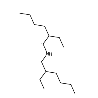 CCCCC([CH]NCC(CC)CCCC)CC